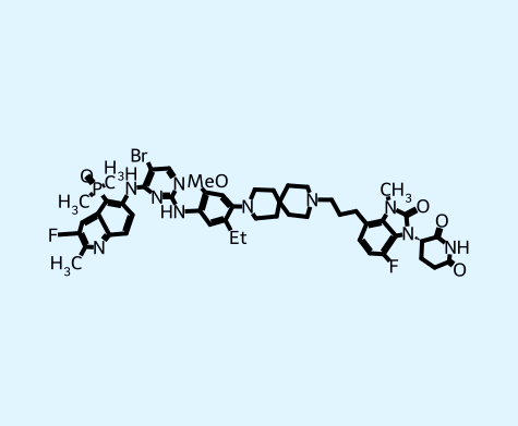 CCc1cc(Nc2ncc(Br)c(Nc3ccc4nc(C)c(F)cc4c3P(C)(C)=O)n2)c(OC)cc1N1CCC2(CCN(CCCc3ccc(F)c4c3n(C)c(=O)n4[C@H]3CCC(=O)NC3=O)CC2)CC1